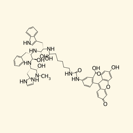 CN[C@@H](O)[C@H](Cc1ncc[nH]1)N[C@H](O)[C@H](Cc1ccccc1)N[C@@H](O)[C@H](Cc1c[nH]c2ccccc12)N[C@H](O)CCCCCNC(=O)Nc1ccc(-c2c3ccc(=O)cc-3oc3cc(O)ccc23)c(C(=O)O)c1